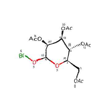 CC(=O)OC[C@H]1O[C@@H](OBr)[C@@H](OC(C)=O)[C@@H](OC(C)=O)[C@@H]1OC(C)=O